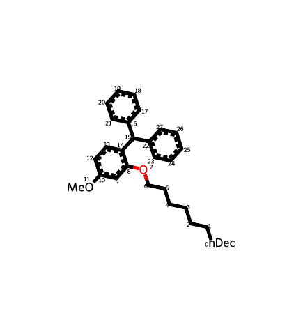 CCCCCCCCCCCCCCCCOc1cc(OC)ccc1[C](c1ccccc1)c1ccccc1